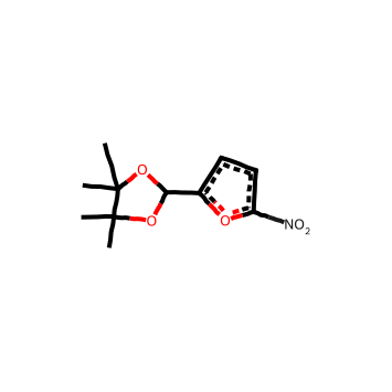 CC1(C)OC(c2ccc([N+](=O)[O-])o2)OC1(C)C